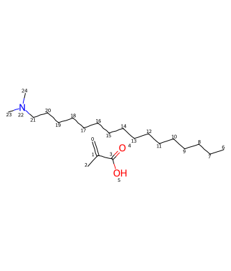 C=C(C)C(=O)O.CCCCCCCCCCCCCCCCN(C)C